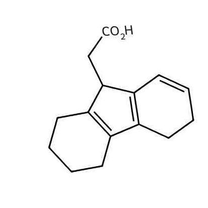 O=C(O)CC1C2=C(CCC=C2)C2=C1CCCC2